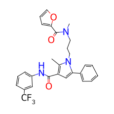 Cc1c(C(=O)Nc2cccc(C(F)(F)F)c2)cc(-c2ccccc2)n1CCCN(C)C(=O)c1ccco1